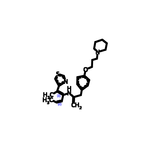 C=C(Cc1ccc(OCCCN2CCCCC2)cc1)NC(/C=C\C)=C(/C)c1cscn1